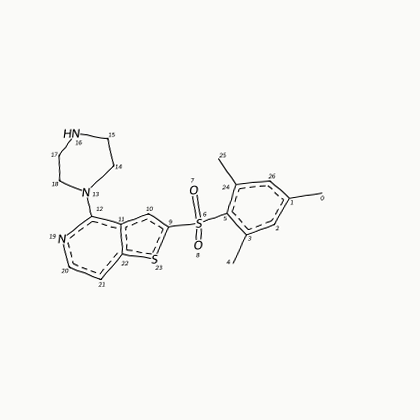 Cc1cc(C)c(S(=O)(=O)c2cc3c(N4CCNCC4)nccc3s2)c(C)c1